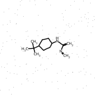 C=NC(=C)NC1CCC(C(C)(C)C)CC1